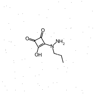 CCCN(N)c1c(O)c(=O)c1=O